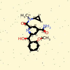 COc1ccccc1C(O)c1cc(C(N)=O)cc(C(=O)N(C)C2CC2)n1